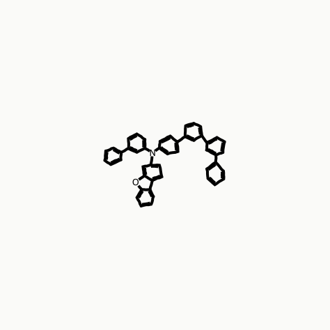 c1ccc(-c2cccc(-c3cccc(-c4ccc(N(c5cccc(-c6ccccc6)c5)c5ccc6c(c5)oc5ccccc56)cc4)c3)c2)cc1